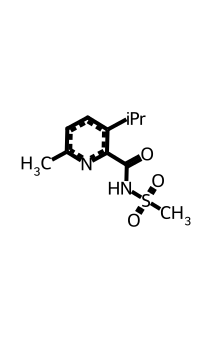 Cc1ccc(C(C)C)c(C(=O)NS(C)(=O)=O)n1